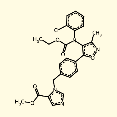 CCOC(=O)N(c1ccccc1Cl)c1c(C)noc1-c1ccc(Cn2cncc2C(=O)OC)cc1